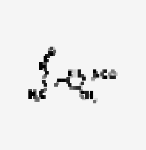 CC(CCN=C=O)CCC(C)CC(C)CCN=C=O